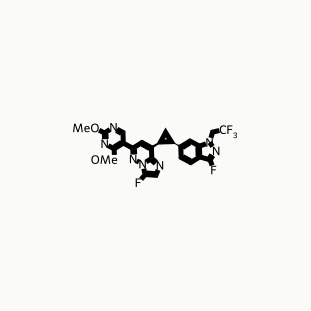 COc1ncc(-c2cc([C@H]3C[C@@H]3c3ccc4c(F)nn(CC(F)(F)F)c4c3)c3ncc(F)n3n2)c(OC)n1